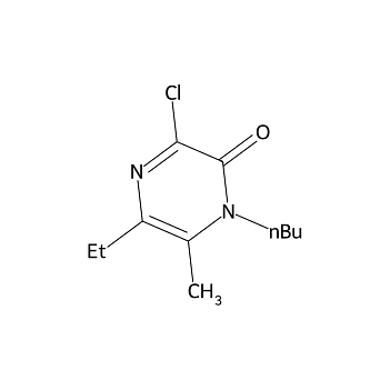 CCCCn1c(C)c(CC)nc(Cl)c1=O